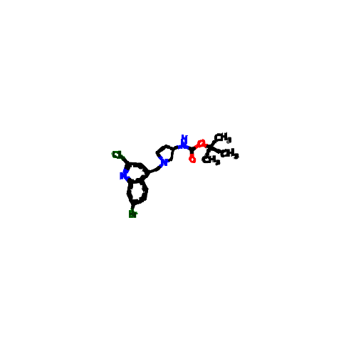 CC(C)(C)OC(=O)NC1CCN(Cc2cc(Cl)nc3cc(Br)ccc23)C1